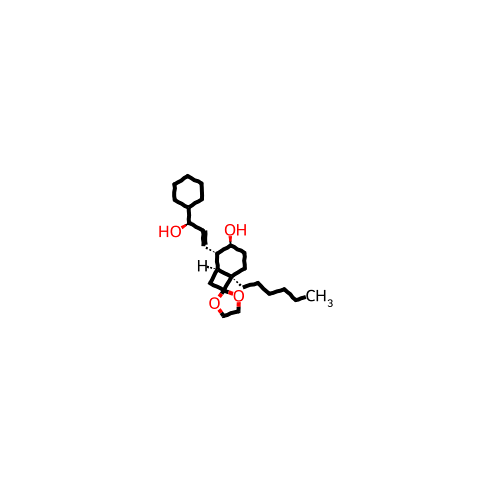 CCCCCC[C@@]12CC[C@H](O)[C@@H](/C=C/[C@@H](O)C3CCCCC3)[C@@H]1CC21OCCO1